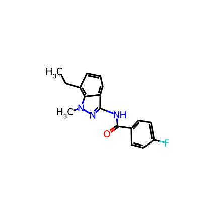 CCc1cccc2c(NC(=O)c3ccc(F)cc3)nn(C)c12